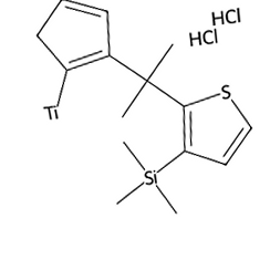 CC(C)(C1=[C]([Ti])CC=C1)c1sccc1[Si](C)(C)C.Cl.Cl